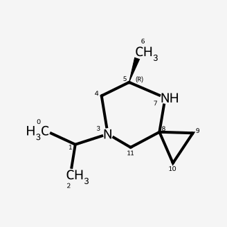 CC(C)N1C[C@@H](C)NC2(CC2)C1